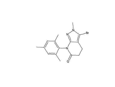 Cc1cc(C)c(N2C(=O)CCc3c2nn(C)c3Br)c(C)c1